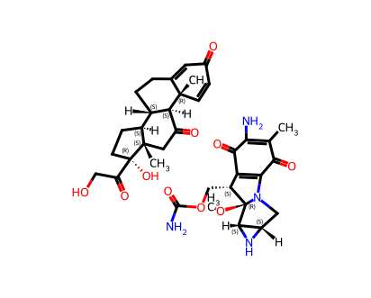 CO[C@@]12[C@H](COC(N)=O)C3=C(C(=O)C(C)=C(N)C3=O)N1C[C@@H]1N[C@@H]12.C[C@]12C=CC(=O)C=C1CC[C@@H]1[C@@H]2C(=O)C[C@@]2(C)[C@H]1CC[C@]2(O)C(=O)CO